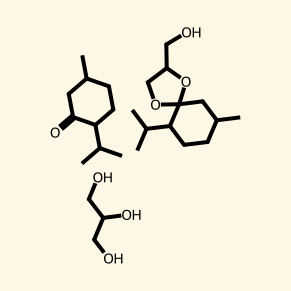 CC1CCC(C(C)C)C(=O)C1.CC1CCC(C(C)C)C2(C1)OCC(CO)O2.OCC(O)CO